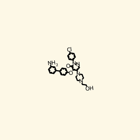 Nc1cccc(-c2ccc(Oc3c(N4CCN(CCO)CC4)cnn(-c4ccc(Cl)cc4)c3=O)cc2)c1